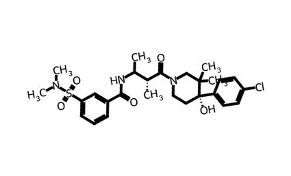 CC(NC(=O)c1cccc(S(=O)(=O)N(C)C)c1)[C@@H](C)C(=O)N1CC[C@](O)(c2ccc(Cl)cc2)C(C)(C)C1